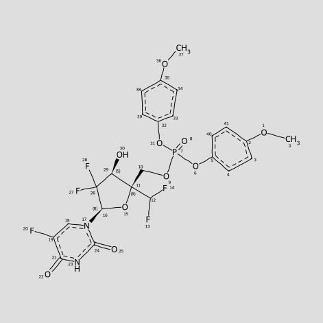 COc1ccc(OP(=O)(OC[C@@]2(C(F)F)O[C@@H](n3cc(F)c(=O)[nH]c3=O)C(F)(F)[C@H]2O)Oc2ccc(OC)cc2)cc1